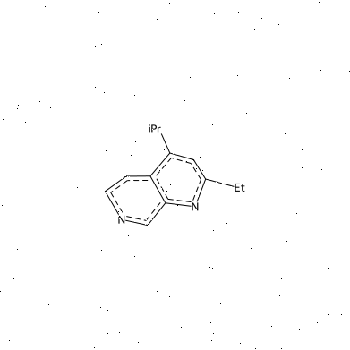 CCc1cc(C(C)C)c2ccncc2n1